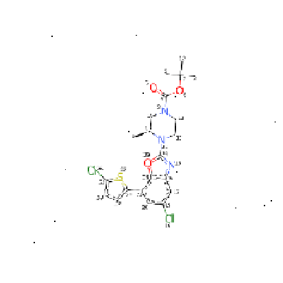 C[C@H]1CN(C(=O)OC(C)(C)C)CCN1c1nc2cc(Cl)cc(-c3ccc(Cl)s3)c2o1